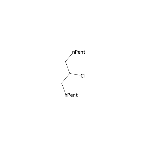 CCCCCCC(Cl)CCCCCC